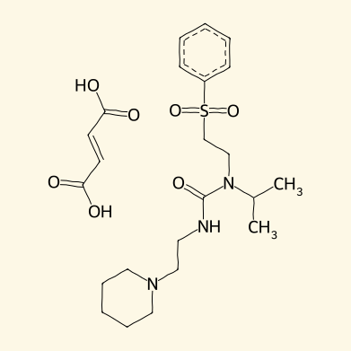 CC(C)N(CCS(=O)(=O)c1ccccc1)C(=O)NCCN1CCCCC1.O=C(O)C=CC(=O)O